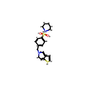 O=S(=O)(c1ccc(CN2C=c3ccsc3=CC2)cc1)N1CCCCC1